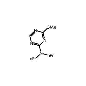 CCCN(CCC)c1ncnc(SC)n1